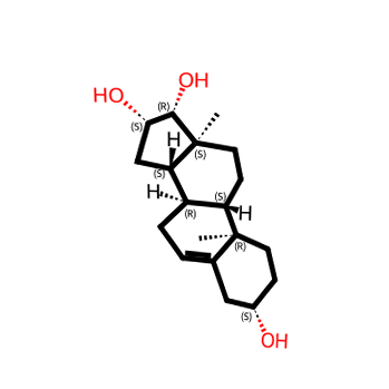 C[C@]12CC[C@H]3[C@@H](CC=C4C[C@@H](O)CC[C@@]43C)[C@@H]1C[C@H](O)[C@@H]2O